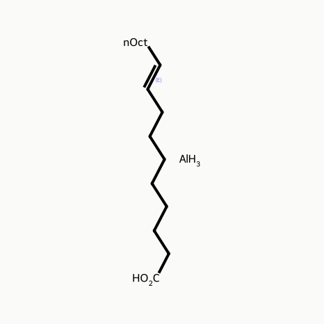 CCCCCCCC/C=C/CCCCCCCC(=O)O.[AlH3]